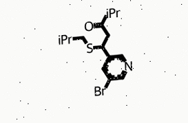 CC(C)CSC(CC(=O)C(C)C)c1cncc(Br)c1